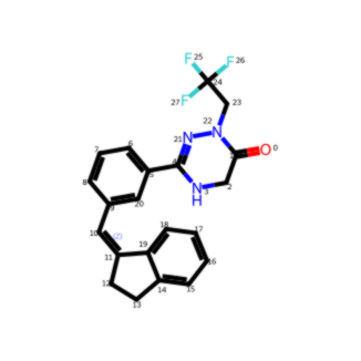 O=C1CNC(c2cccc(/C=C3/CCc4ccccc43)c2)=NN1CC(F)(F)F